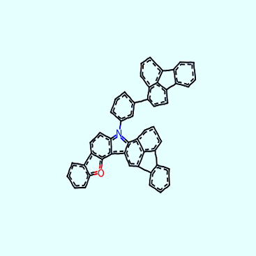 c1cc(-c2ccc3c4c(cccc24)-c2ccccc2-3)cc(-n2c3ccc4c5ccccc5oc4c3c3cc4c5c(cccc5c32)-c2ccccc2-4)c1